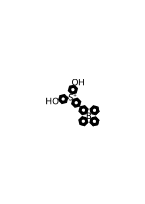 Oc1ccc([S+](c2ccccc2)c2ccc(O)cc2)cc1.c1ccc([B-](c2ccccc2)(c2ccccc2)c2ccccc2)cc1